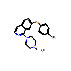 CC(C)(C)c1ccc(Sc2ccc3ccnc(N4CCN(C(=O)O)CC4)c3c2)cc1